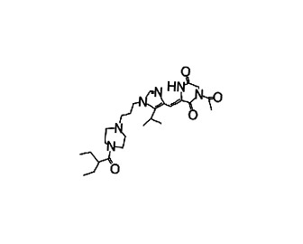 CCC(CC)C(=O)N1CCN(CCCn2cnc(/C=C3\NC(=O)CN(C(C)=O)C3=O)c2C(C)C)CC1